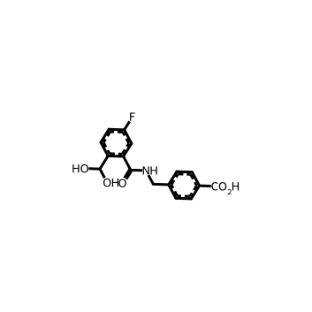 O=C(O)c1ccc(CNC(=O)c2cc(F)ccc2C(O)O)cc1